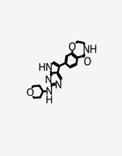 O=C1NCCOc2cc(-c3c[nH]c4nc(NC5CCOCC5)ncc34)ccc21